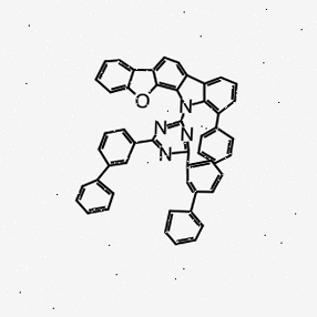 c1ccc(-c2cccc(-c3nc(-c4cccc(-c5ccccc5)c4)nc(-n4c5c(-c6ccccc6)cccc5c5ccc6c7ccccc7oc6c54)n3)c2)cc1